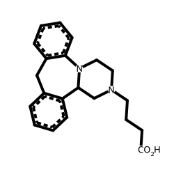 O=C(O)CCCN1CCN2c3ccccc3Cc3ccccc3C2C1